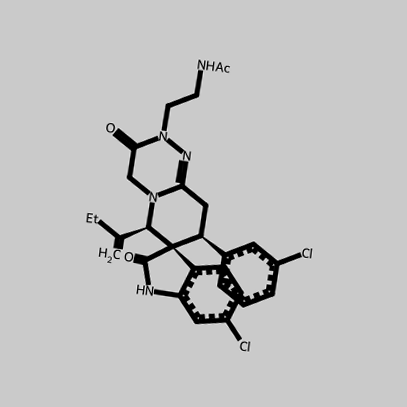 C=C(CC)[C@H]1N2CC(=O)N(CCNC(C)=O)N=C2C[C@@H](c2cccc(Cl)c2)[C@]12C(=O)Nc1cc(Cl)ccc12